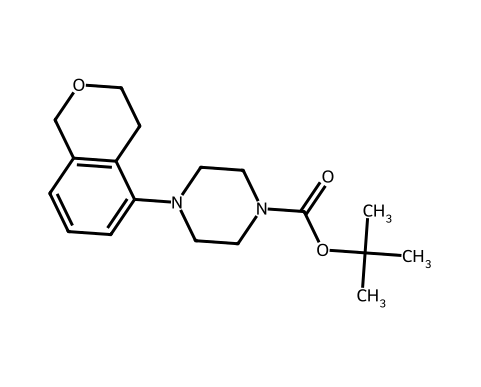 CC(C)(C)OC(=O)N1CCN(c2cccc3c2CCOC3)CC1